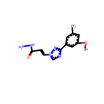 CC(C)Oc1cc(-c2ncn(C=CC(=O)NN)n2)cc(C(F)(F)F)c1